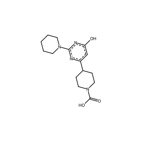 O=C(O)N1CCC(c2cc(O)nc(N3CCCCC3)n2)CC1